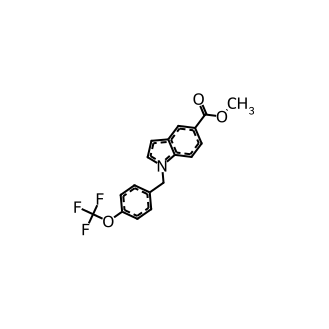 COC(=O)c1ccc2c(ccn2Cc2ccc(OC(F)(F)F)cc2)c1